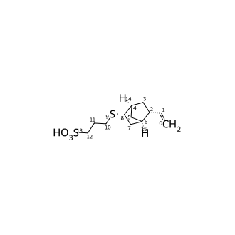 C=C[C@H]1C[C@H]2C[C@@H]1C[C@@H]2SCCCS(=O)(=O)O